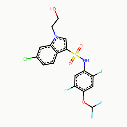 O=S(=O)(Nc1cc(F)c(OC(F)F)cc1F)c1cn(CCO)c2cc(Cl)ccc12